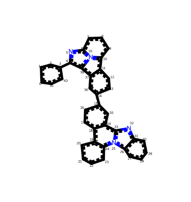 c1ccc(-c2nc3cccc4c5ccc(-c6ccc7c8ccccc8n8c9ccccc9nc8c7c6)cc5c2n34)cc1